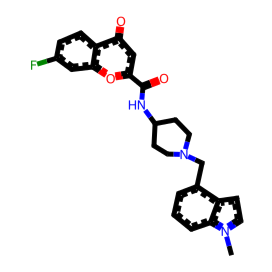 Cn1ccc2c(CN3CCC(NC(=O)c4cc(=O)c5ccc(F)cc5o4)CC3)cccc21